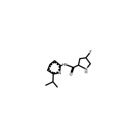 CC(C)c1cccc(NC(=O)C2CC(F)CN2)n1